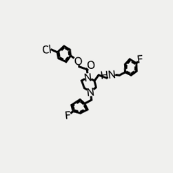 O=C(COc1ccc(Cl)cc1)N1CCN(Cc2ccc(F)cc2)CC1CCNCc1ccc(F)cc1